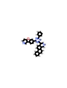 c1ccc(-c2nc(-c3ccc4c(c3)oc3ccncc34)nc(-c3cncc4c3ccc3c5ccccc5ccc43)n2)cc1